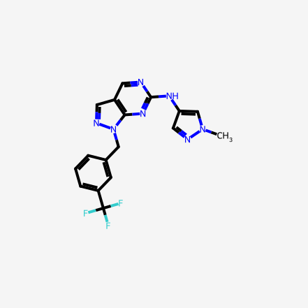 Cn1cc(Nc2ncc3cnn(Cc4cccc(C(F)(F)F)c4)c3n2)cn1